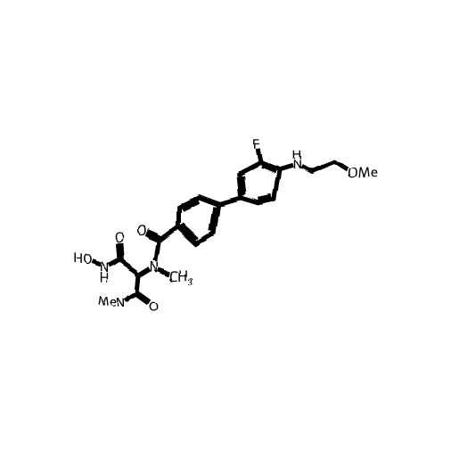 CNC(=O)C(C(=O)NO)N(C)C(=O)c1ccc(-c2ccc(NCCOC)c(F)c2)cc1